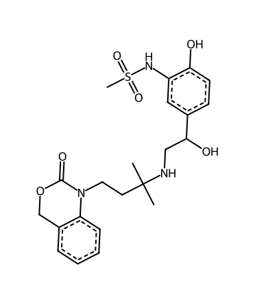 CC(C)(CCN1C(=O)OCc2ccccc21)NCC(O)c1ccc(O)c(NS(C)(=O)=O)c1